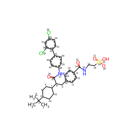 CC(C)(C)C1CCC(C(Cc2ccc(C(=O)NCCS(=O)(=O)O)cc2)C(=O)Nc2ccc(-c3ccc(Cl)cc3Cl)cc2)CC1